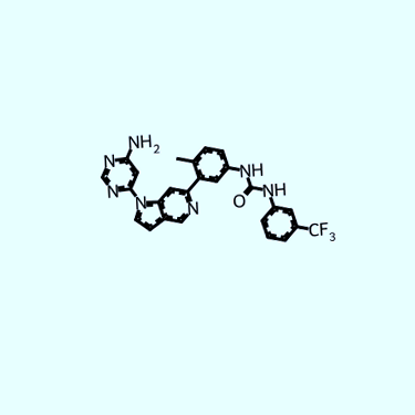 Cc1ccc(NC(=O)Nc2cccc(C(F)(F)F)c2)cc1-c1cc2c(ccn2-c2cc(N)ncn2)cn1